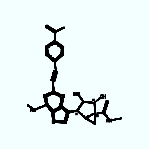 CNC(=O)[C@]12CC1[C@@H](n1cnc3c(NC)nc(C#Cc4ccc(C(C)=O)cc4)nc31)C(O)[C@@H]2O